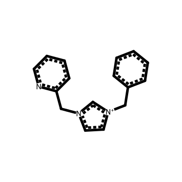 c1ccc(C[n+]2ccn(Cc3ccccn3)c2)cc1